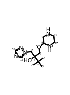 CC(C)(C)C(O)(COC1CNCCN1)Cn1cncn1